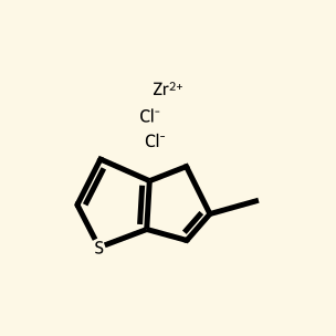 CC1=Cc2sccc2C1.[Cl-].[Cl-].[Zr+2]